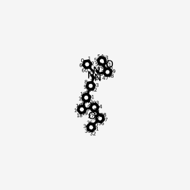 c1ccc(-c2nc(-c3ccc(-c4ccc(-c5ccccc5-c5cccc6c5oc5c(-c7ccccc7)cccc56)cc4)cc3)nc(-c3cccc4oc5ccccc5c34)n2)cc1